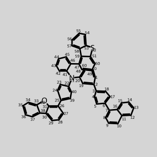 c1cc(-c2ccc(-c3cccc4ccccc34)cc2)cc(N(c2ccc(-c3cccc4c3oc3ccccc34)cc2)c2ccccc2-c2cccc3sc4ccccc4c23)c1